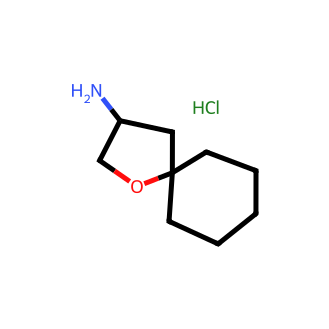 Cl.NC1COC2(CCCCC2)C1